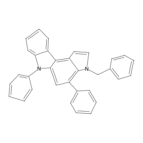 c1ccc(Cn2ccc3c4c5ccccc5n(-c5ccccc5)c4cc(-c4ccccc4)c32)cc1